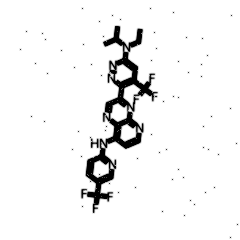 CCN(c1cc(C(F)(F)F)c(-c2cnc3c(Nc4ccc(C(F)(F)F)cn4)ccnc3n2)nn1)C(C)C